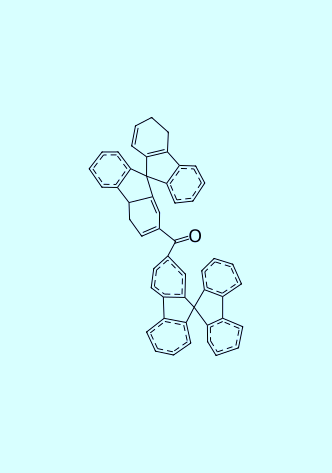 O=C(C1=CCC2C(=C1)C1(C3=C(CCC=C3)c3ccccc31)c1ccccc12)c1ccc2c(c1)C1(c3ccccc3-c3ccccc31)c1ccccc1-2